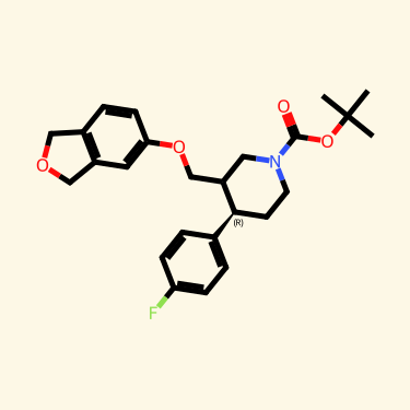 CC(C)(C)OC(=O)N1CC[C@@H](c2ccc(F)cc2)C(COc2ccc3c(c2)COC3)C1